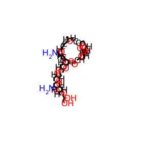 C=C1C[C@@H]2CC[C@]34CCC(O3)[C@@H]3O[C@H]5CC[C@H](CC(=O)O[C@@H]6CC7OC8C[C@@]9(C[C@@H]%10O[C@@]%11(CC[C@@H]%10O9)C[C@H](N)[C@@H]9O[C@@H]%10C[C@@H]([C@@H](O)CO)O[C@@H]%10C[C@@H]9O%11)O[C@@H]8C[C@@H]7O[C@H]6C[C@H]6O[C@@H](CC[C@@H]1O2)C[C@@H](N)C6=C)O[C@@H]5[C@H](O4)[C@@H]3OC